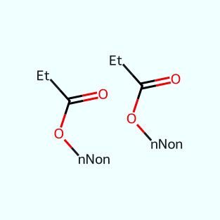 CCCCCCCCCOC(=O)CC.CCCCCCCCCOC(=O)CC